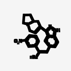 CCCCC(=Cc1ccc2[nH]nc(C3=CCN4CCCC4C3)c2c1)c1cccc([N+](=O)[O-])c1